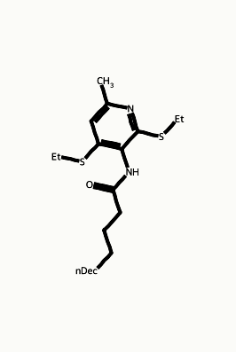 CCCCCCCCCCCCCC(=O)Nc1c(SCC)cc(C)nc1SCC